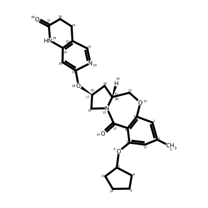 Cc1cc2c(c(OC3CCCC3)c1)C(=O)N1C[C@@H](Oc3cc4c(cn3)CCC(=O)N4)C[C@@H]1CO2